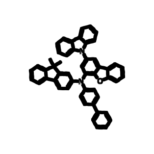 CC1(C)c2ccccc2-c2ccc(N(c3ccc(-c4ccccc4)cc3)c3cc(-n4c5ccccc5c5ccccc54)cc4c3oc3ccccc34)cc21